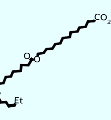 CC/C=C\C/C=C\C/C=C\CCCCCCCC(=O)OCCCCCCCCCCCCCCC(=O)O